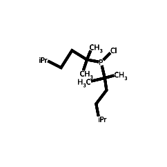 CC(C)CCC(C)(C)P(Cl)C(C)(C)CCC(C)C